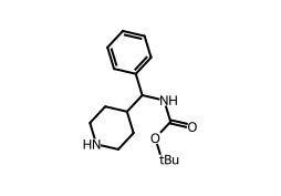 CC(C)(C)OC(=O)NC(c1ccccc1)C1CCNCC1